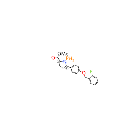 COC(=O)[C@@H]1CC[C@H](c2ccc(OCc3ccccc3F)cc2)N1P